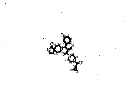 O=C(c1cnc2ccc(F)cc2c1N1CCC2(CCOC2=O)CC1)N1CCN(C(=O)C2CC2)CC1